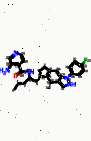 CCCC(C[C@H]1CCC2=C1[C@@H](C)C1=CNN(c3ccc(F)cc3)C1=C2)NC(=O)c1ccncc1N